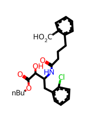 CCCCOC(=O)C(O)C(Cc1ccccc1Cl)NC(=O)CCCc1ccccc1C(=O)O